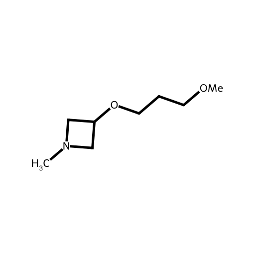 COCCCOC1CN(C)C1